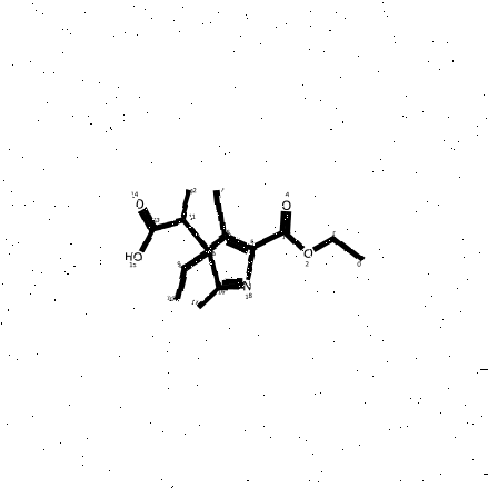 CCOC(=O)C1=C(C)C(CC)(C(C)C(=O)O)C(C)=N1